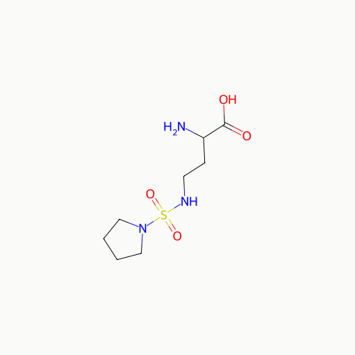 NC(CCNS(=O)(=O)N1CCCC1)C(=O)O